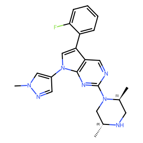 C[C@@H]1CN(c2ncc3c(-c4ccccc4F)cn(-c4cnn(C)c4)c3n2)[C@@H](C)CN1